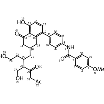 COc1ccc(C(=O)Nc2ccc(-c3ccc(O)c4c3CC(CC(CCO)C(CO)C(=O)CC(C)=O)CC4=O)cc2)cc1